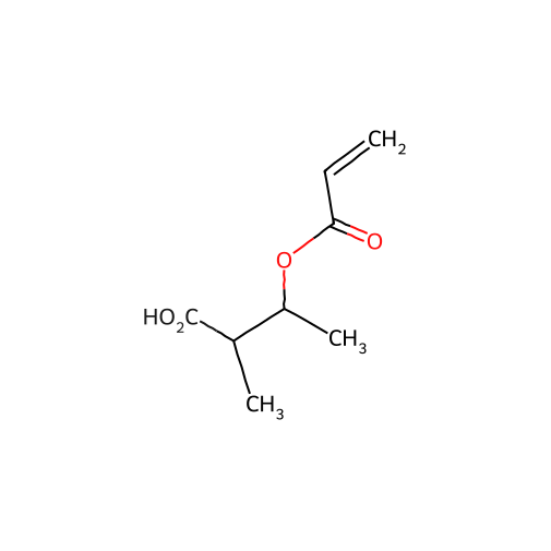 C=CC(=O)OC(C)C(C)C(=O)O